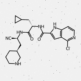 N#C[C@H](C[C@@H]1CCCNC1)NC(=O)[C@H](CC1CC1)NC(=O)c1cc2c(Cl)nccc2[nH]1